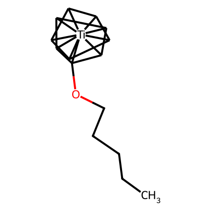 CCCCCO[C]12[CH]3[CH]4[CH]5[CH]1[Ti]45321678[CH]2[CH]1[CH]6[CH]7[CH]28